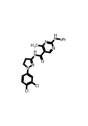 CCCNc1ncc(C(=O)NC2=NN(c3ccc(Cl)c(Cl)c3)CC2)c(C)n1